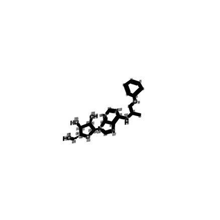 CC(COc1ccccc1)Nc1ncnc2c1ncn2[C@@H]1O[C@H](CO)[C@@H](O)[C@H]1O